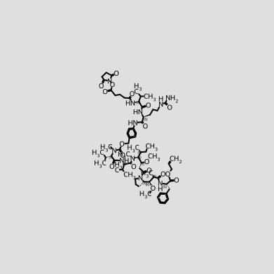 C=CCOC(=O)[C@H](Cc1ccccc1)NC(=O)[C@H](C)[C@@H](OC)[C@@H]1CCCN1C(=O)C[C@@H](OC)[C@H]([C@@H](C)CC)N(C)C(=O)[C@@H](NC(=O)[C@H](C(C)C)N(C)C(=O)OCc1ccc(NC(=O)[C@H](CCCNC(N)=O)NC(=O)[C@@H](NC(=O)CCCC(=O)ON2C(=O)CCC2=O)C(C)C)cc1)C(C)C